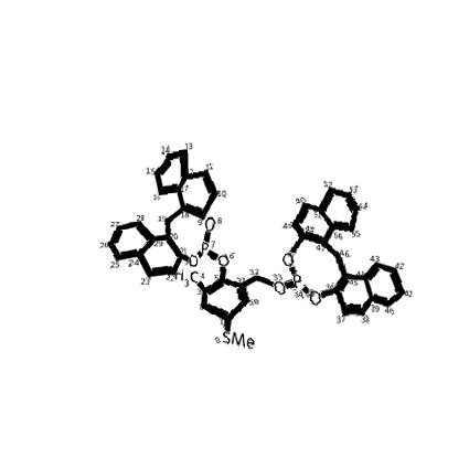 CSc1cc(C)c(OP2Oc3ccc4ccccc4c3Cc3c(ccc4ccccc34)O2)c(COP2Oc3ccc4ccccc4c3Cc3c(ccc4ccccc34)O2)c1